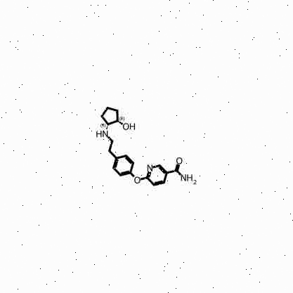 NC(=O)c1ccc(Oc2ccc(CCN[C@@H]3CCC[C@H]3O)cc2)nc1